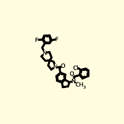 CN(C(=O)c1ccccc1Cl)C1CCc2ccc(C(=O)N3CCC4(CCN(Cc5cc(F)ccc5F)CC4)C3)cc21